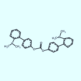 CN(C)c1ccccc1-c1ccc(OC(=O)Oc2ccc(-c3ccccc3N(C)C)cc2)cc1